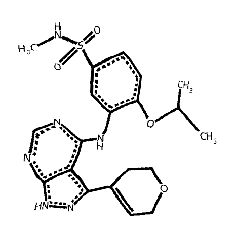 CNS(=O)(=O)c1ccc(OC(C)C)c(Nc2ncnc3[nH]nc(C4=CCOCC4)c23)c1